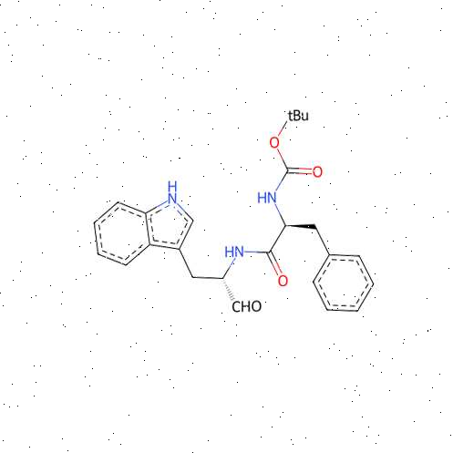 CC(C)(C)OC(=O)N[C@@H](Cc1ccccc1)C(=O)N[C@H](C=O)Cc1c[nH]c2ccccc12